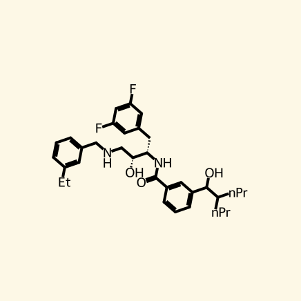 CCCC(CCC)C(O)c1cccc(C(=O)N[C@@H](Cc2cc(F)cc(F)c2)[C@H](O)CNCc2cccc(CC)c2)c1